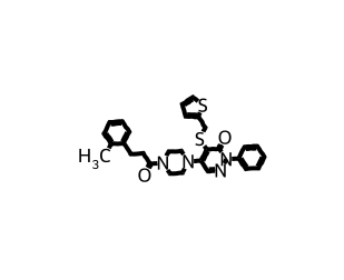 Cc1ccccc1CCC(=O)N1CCN(c2cnn(-c3ccccc3)c(=O)c2SCc2cccs2)CC1